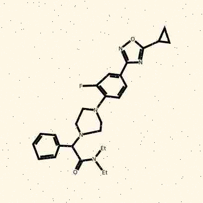 CCN(CC)C(=O)C(c1ccccc1)N1CCN(c2ccc(-c3noc(C4CC4)n3)cc2F)CC1